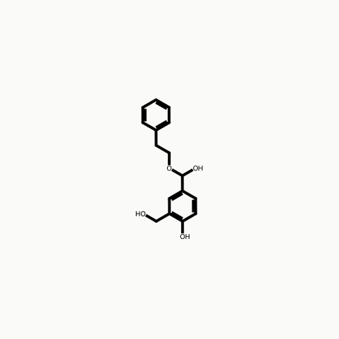 OCc1cc(C(O)OCCc2ccccc2)ccc1O